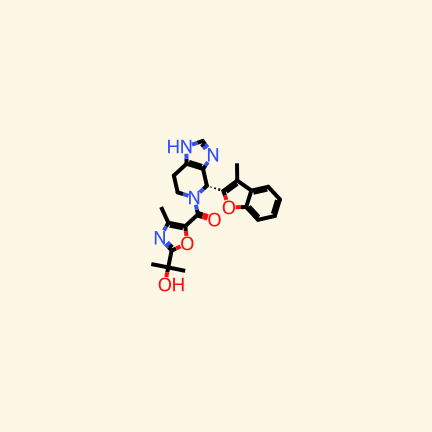 Cc1nc(C(C)(C)O)oc1C(=O)N1CCc2[nH]cnc2[C@@H]1c1oc2ccccc2c1C